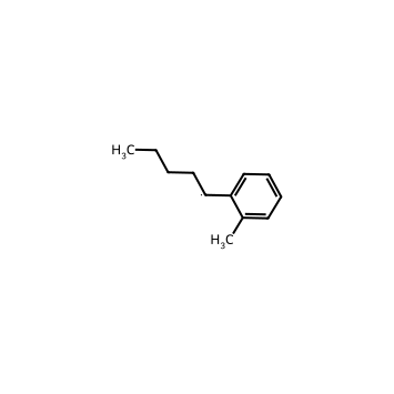 CCCC[CH]c1ccccc1C